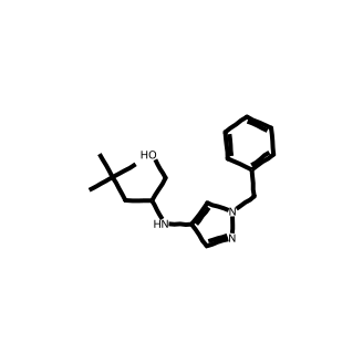 CC(C)(C)CC(CO)Nc1cnn(Cc2ccccc2)c1